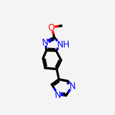 COc1nc2ccc(-c3cncnc3)cc2[nH]1